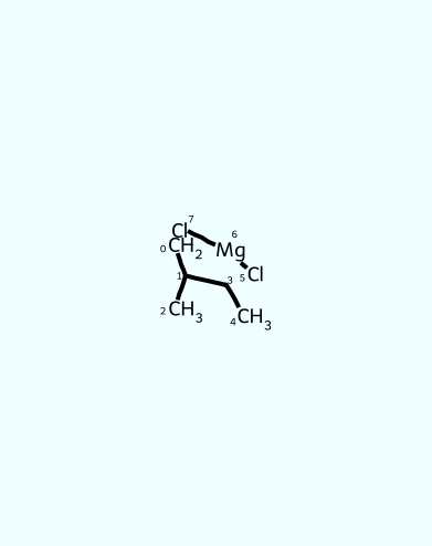 [CH2]C(C)CC.[Cl][Mg][Cl]